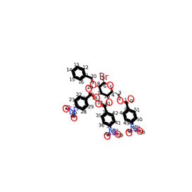 O=C(OC[C@H]1O[C@@H](Br)[C@H](OCc2ccccc2)[C@@H](OC(=O)c2ccc([N+](=O)[O-])cc2)[C@@H]1OC(=O)c1ccc([N+](=O)[O-])cc1)c1ccc([N+](=O)[O-])cc1